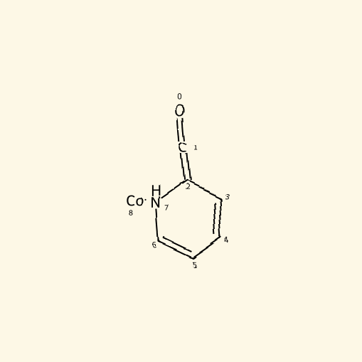 O=C=C1C=CC=CN1.[Co]